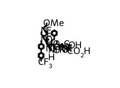 COCCN1CCC(N(Cc2ccc(-c3ccc(C(F)(F)F)cc3)cc2)C(=O)Cc2n[nH]c(=O)c(C(C)c3cn[nH]c3)c2CCc2cccc(F)c2F)CC1.O=C(O)C(O)C(O)C(=O)O